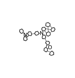 c1ccc(-c2cccc3c2oc2ccc(-c4ccc(N(c5ccc(-c6ccc7c(c6)c6ccccc6n7-c6ccccc6)cc5)c5cccc6c5-c5ccccc5C65c6ccccc6-c6ccccc65)cc4)cc23)cc1